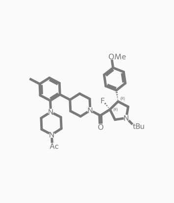 COc1ccc([C@@H]2CN(C(C)(C)C)C[C@@]2(F)C(=O)N2CCC(c3ccc(C)cc3N3CCN(C(C)=O)CC3)CC2)cc1